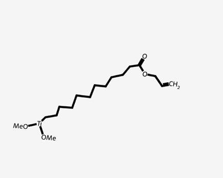 C=CCOC(=O)CCCCCCCCCC[CH2][Ti]([O]C)[O]C